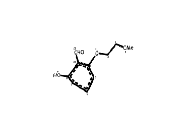 COCCOc1cccc(O)c1C=O